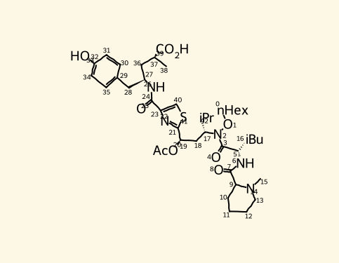 CCCCCCON(C(=O)[C@@H](NC(=O)C1CCCCN1C)[C@@H](C)CC)[C@H](C[C@@H](OC(C)=O)c1nc(C(=O)N[C@@H](Cc2ccc(O)cc2)C[C@H](C)C(=O)O)cs1)C(C)C